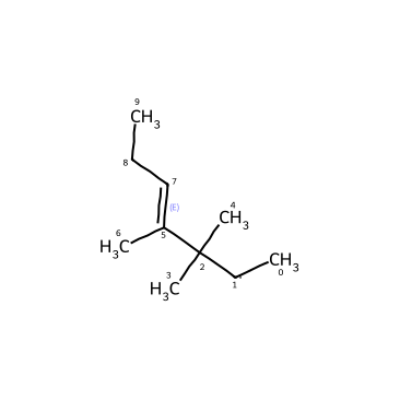 C[CH]C(C)(C)/C(C)=C/CC